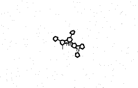 Ic1cc(-c2ccccc2)cc2c1[nH]c1c(-c3ccc4c(c3)c3ccccc3n4-c3ccccc3)cc(-c3ccccc3)cc12